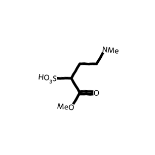 CNCCC(C(=O)OC)S(=O)(=O)O